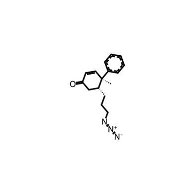 C[C@@]1(c2ccccc2)C=CC(=O)C[C@H]1CCCN=[N+]=[N-]